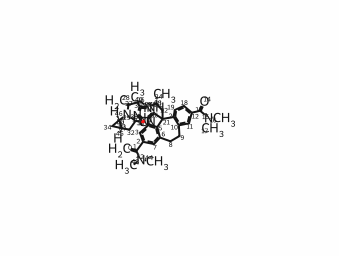 C=C(c1ccc2c(c1)CCc1cc(C(=O)N(C)C)ccc1C2(C[C@@H](C)NCC(=C)N1C(C#N)C[C@@H]2C[C@@H]21)c1nnc(C)[nH]1)N(C)C